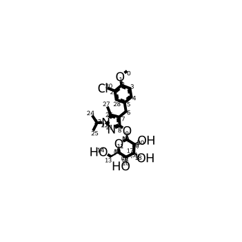 COc1ccc(Cc2c(O[C@@H]3O[C@H](CO)[C@@H](O)[C@H](O)[C@H]3O)nn(C(C)C)c2C)cc1Cl